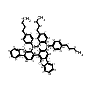 CCCCc1ccc(N2B3c4cc(CCCC)ccc4N(c4ccc(CCCC)cc4)c4cc5c(oc6ccccc65)c(c43)-c3ccc4c(oc5ccccc54)c32)cc1